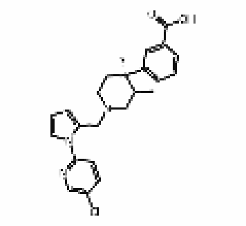 C[C@H]1CN(Cc2cccn2-c2ccc(Cl)cn2)CC[C@@]1(C)c1cccc(C(=O)O)c1